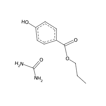 CCCOC(=O)c1ccc(O)cc1.NC(N)=O